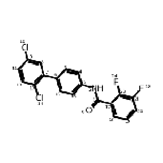 O=C(Nc1ccc(-c2cc(Cl)ccc2Cl)cc1)c1cccc(F)c1F